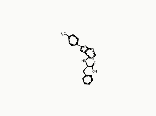 Cc1ccc(-c2cc3c(N[C@H](Cc4ccccc4)C(=O)O)ncnc3s2)cc1